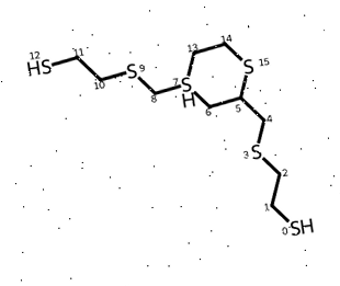 SCCSCC1C[SH](CSCCS)CCS1